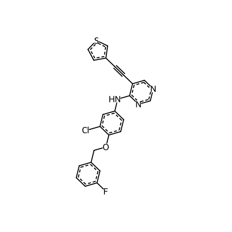 Fc1cccc(COc2ccc(Nc3ncncc3C#Cc3ccsc3)cc2Cl)c1